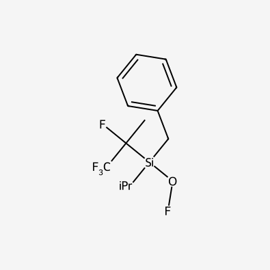 CC(C)[Si](Cc1ccccc1)(OF)C(C)(F)C(F)(F)F